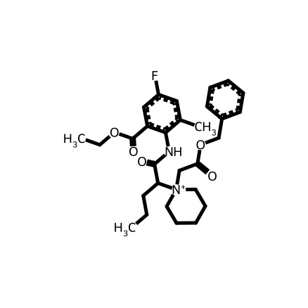 CCCC(C(=O)Nc1c(C)cc(F)cc1C(=O)OCC)[N+]1(CC(=O)OCc2ccccc2)CCCCC1